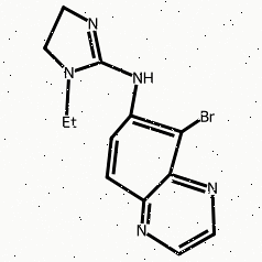 CCN1CCN=C1Nc1ccc2nccnc2c1Br